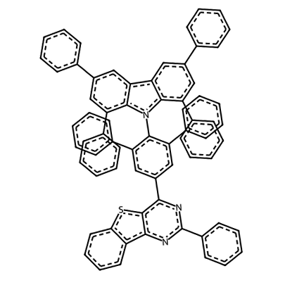 c1ccc(-c2cc(-c3ccccc3)c3c(c2)c2cc(-c4ccccc4)cc(-c4ccccc4)c2n3-c2c(-c3ccccc3)cc(-c3nc(-c4ccccc4)nc4c3sc3ccccc34)cc2-c2ccccc2)cc1